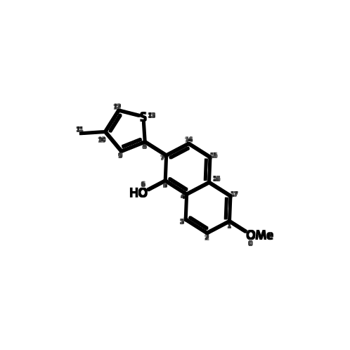 COc1ccc2c(O)c(-c3cc(C)cs3)ccc2c1